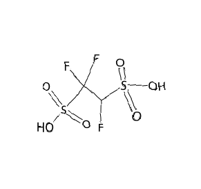 O=S(=O)(O)C(F)C(F)(F)S(=O)(=O)O